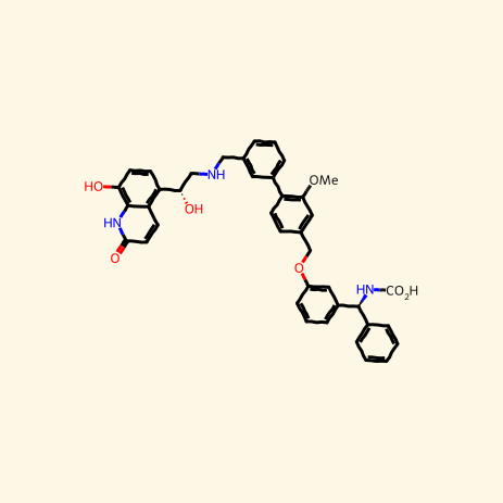 COc1cc(COc2cccc([C@@H](NC(=O)O)c3ccccc3)c2)ccc1-c1cccc(CNC[C@H](O)c2ccc(O)c3[nH]c(=O)ccc23)c1